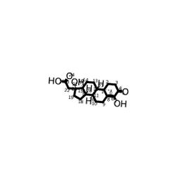 C[C@]12CCC(=O)C(O)=C1CC[C@@H]1[C@@H]2CC[C@@]2(C)[C@H]1CC[C@@]2(O)CC(=O)O